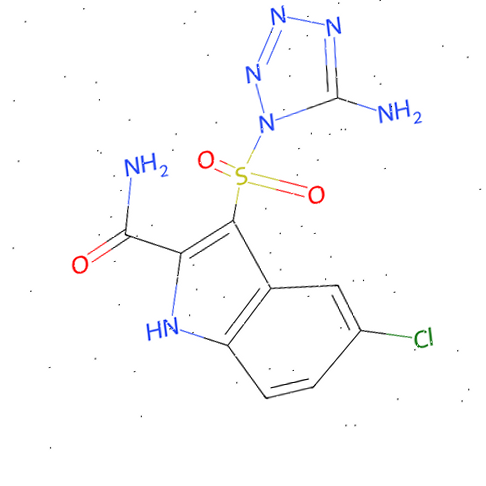 NC(=O)c1[nH]c2ccc(Cl)cc2c1S(=O)(=O)n1nnnc1N